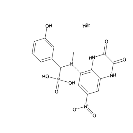 Br.CN(c1cc([N+](=O)[O-])cc2[nH]c(=O)c(=O)[nH]c12)C(c1cccc(O)c1)P(=O)(O)O